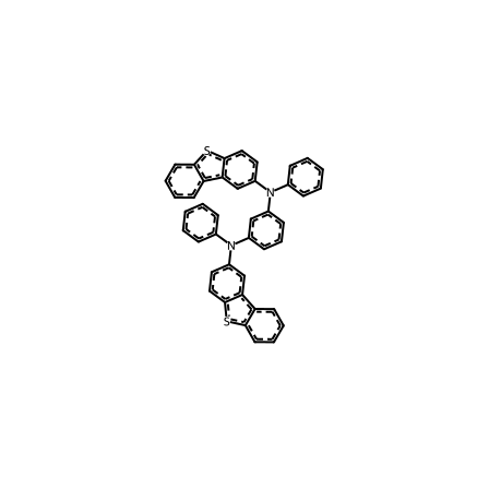 c1ccc(N(c2cccc(N(c3ccccc3)c3ccc4sc5ccccc5c4c3)c2)c2ccc3sc4ccccc4c3c2)cc1